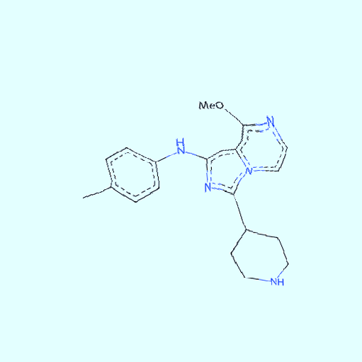 COc1nccn2c(C3CCNCC3)nc(Nc3ccc(C)cc3)c12